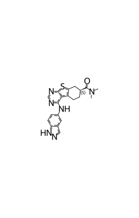 CN(C)C(=O)[C@H]1CCc2c(sc3ncnc(Nc4ccc5[nH]ncc5c4)c23)C1